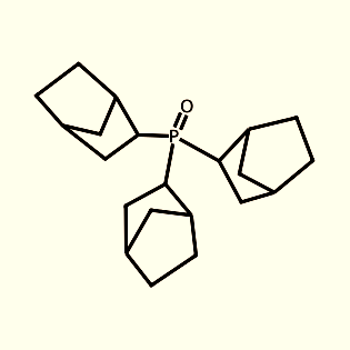 O=P(C1CC2CCC1C2)(C1CC2CCC1C2)C1CC2CCC1C2